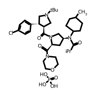 CC1CCC(N(C(=O)C(C)C)[C@H]2C[C@@H](C(=O)N3CCOCC3)N(C(=O)[C@@H]3CN(C(C)(C)C)C[C@H]3c3ccc(Cl)cc3)C2)CC1.O=P(O)(O)O